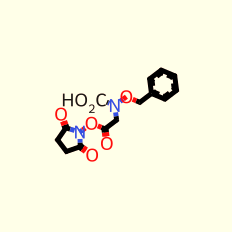 O=C(CN(OCc1ccccc1)C(=O)O)ON1C(=O)CCC1=O